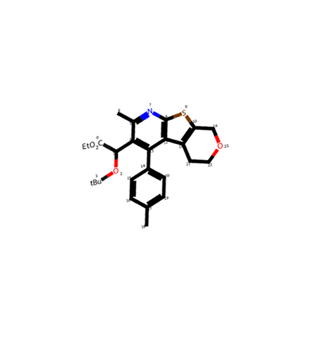 CCOC(=O)C(OC(C)(C)C)c1c(C)nc2sc3c(c2c1-c1ccc(C)cc1)CCOC3